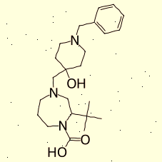 CC(C)(C)C1CN(CC2(O)CCN(Cc3ccccc3)CC2)CCCN1C(=O)O